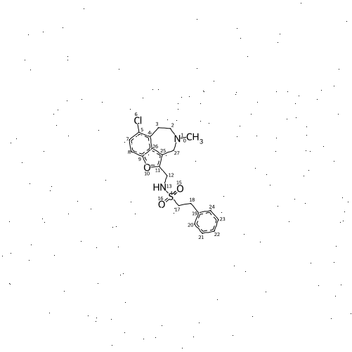 CN1CCc2c(Cl)ccc3oc(CNS(=O)(=O)CCc4ccccc4)c(c23)C1